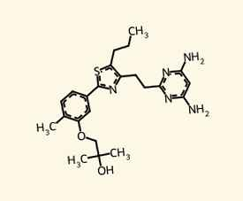 CCCc1sc(-c2ccc(C)c(OCC(C)(C)O)c2)nc1CCc1nc(N)cc(N)n1